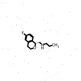 CCCNC[C@@H]1OCCc2cc(F)ccc21